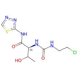 CC(O)[C@H](NC(=O)NCCCl)C(=O)Nc1nncs1